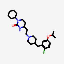 CC(C)Oc1ccc(Br)c(CC2CCN(CCC3CCN(C4CCCCC4)C(=O)N3)CC2)c1